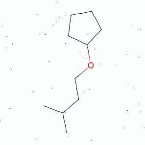 C[C](C)CCOC1CCCC1